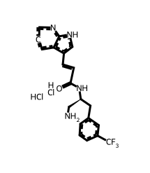 Cl.Cl.NC[C@H](Cc1cccc(C(F)(F)F)c1)NC(=O)/C=C/c1c[nH]c2ncccc12